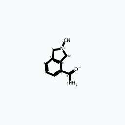 N#CN1Cc2cccc(C(N)=O)c2C1